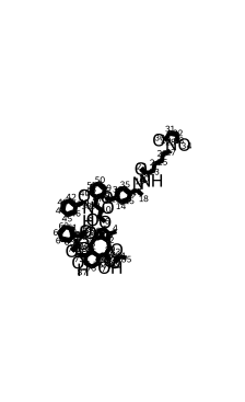 C=C1C2=C(C)[C@H](OC(=O)[C@@H](OC(=O)c3ccc(/C(C)=N/NC(=O)CCCCCN4C(=O)C=CC4=O)cc3)[C@H](NC(=O)c3ccccc3)c3ccccc3)C[C@]1(O)[C@H](OC(=O)c1ccccc1)C1[C@@]3(OC(C)=O)CO[C@H]3C[C@@H](O)[C@]1(C)C(=O)[C@H]2OC(C)=O